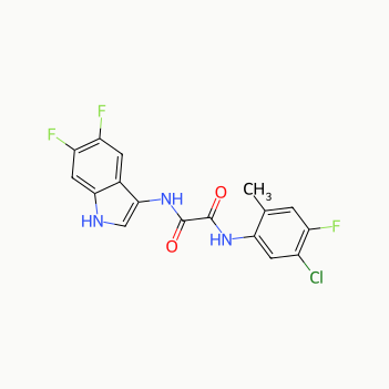 Cc1cc(F)c(Cl)cc1NC(=O)C(=O)Nc1c[nH]c2cc(F)c(F)cc12